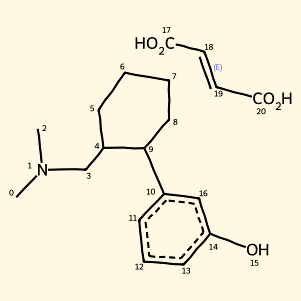 CN(C)CC1CCCCC1c1cccc(O)c1.O=C(O)/C=C/C(=O)O